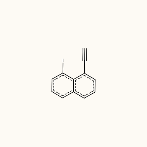 C#Cc1cccc2cccc(I)c12